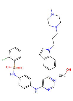 CN1CCN(CCCn2ccc3cc(-c4cc(Nc5ccc(NS(=O)(=O)c6ccccc6F)cc5)ncn4)ccc32)CC1.O=CO